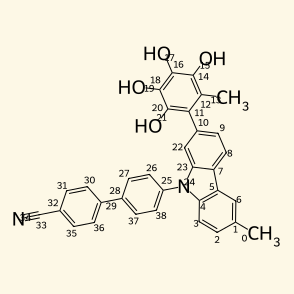 Cc1ccc2c(c1)c1ccc(-c3c(C)c(O)c(O)c(O)c3O)cc1n2-c1ccc(-c2ccc(C#N)cc2)cc1